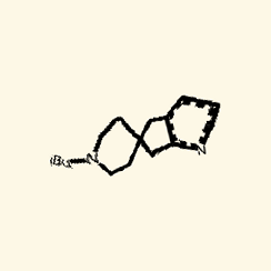 CCC(C)N1CCC2(CC1)Cc1cccnc1C2